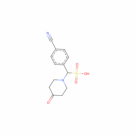 N#Cc1ccc(C(N2CCC(=O)CC2)S(=O)(=O)O)cc1